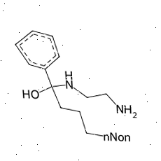 CCCCCCCCCCCCC(O)(NCCN)c1ccccc1